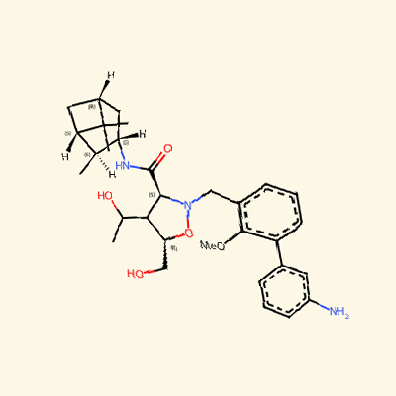 COc1c(CN2O[C@@H](CO)C(C(C)O)[C@H]2C(=O)N[C@H]2C[C@H]3C[C@@H]([C@@H]2C)C3(C)C)cccc1-c1cccc(N)c1